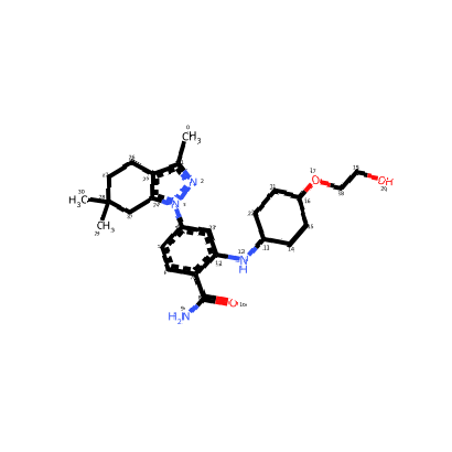 Cc1nn(-c2ccc(C(N)=O)c(NC3CCC(OCCO)CC3)c2)c2c1CCC(C)(C)C2